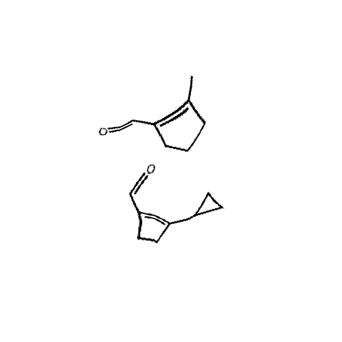 CC1=C(C=O)CCC1.O=CC1=C(C2CC2)CC1